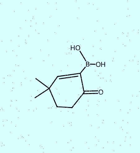 CC1(C)C=C(B(O)O)C(=O)CC1